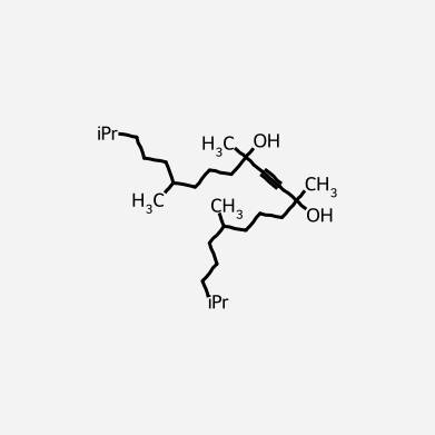 CC(C)CCCC(C)CCCC(C)(O)C#CC(C)(O)CCCC(C)CCCC(C)C